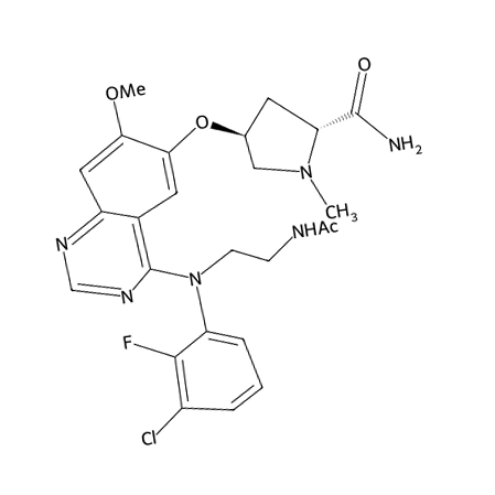 COc1cc2ncnc(N(CCNC(C)=O)c3cccc(Cl)c3F)c2cc1O[C@H]1C[C@H](C(N)=O)N(C)C1